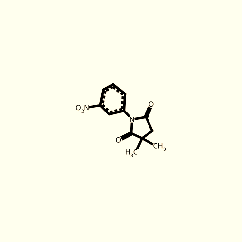 CC1(C)CC(=O)N(c2cccc([N+](=O)[O-])c2)C1=O